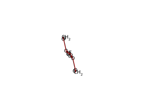 C=CC(=O)OCCCCCCCCCCCCCCCCCOc1ccc(C(=O)Oc2cc(F)c(OC(=O)c3ccc(OCCCCCCCCCCCCCCCCCOC(=O)C=C)cc3)c(F)c2)cc1